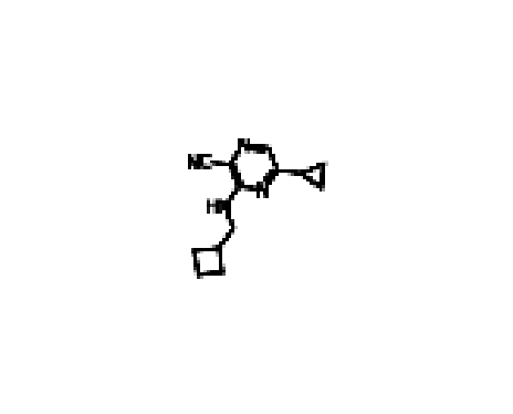 N#Cc1ncc(C2CC2)nc1NCC1CCC1